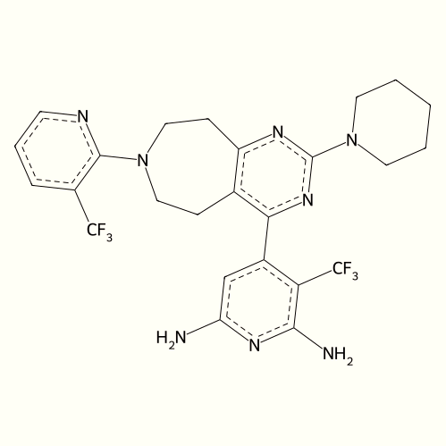 Nc1cc(-c2nc(N3CCCCC3)nc3c2CCN(c2ncccc2C(F)(F)F)CC3)c(C(F)(F)F)c(N)n1